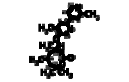 Cc1cc(-c2cc(C)c(OC[C@]3(C)CC(C)CC(C)(C)OC(=O)N3)cn2)ccn1